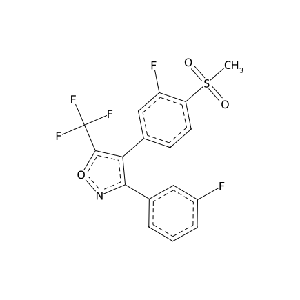 CS(=O)(=O)c1ccc(-c2c(-c3cccc(F)c3)noc2C(F)(F)F)cc1F